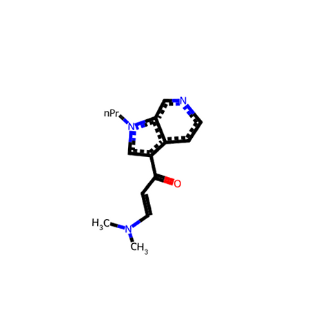 CCCn1cc(C(=O)/C=C/N(C)C)c2ccncc21